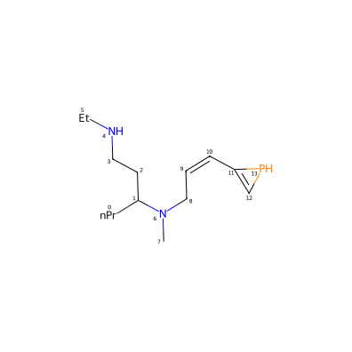 CCCC(CCNCC)N(C)C/C=C\C1=CP1